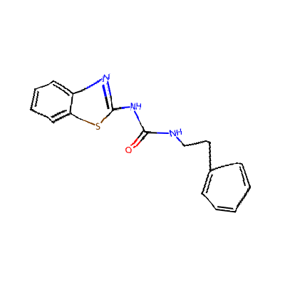 O=C(NCCc1ccccc1)Nc1nc2ccccc2s1